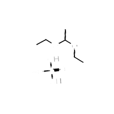 CCOC(C)OCC.O=P(O)(O)O